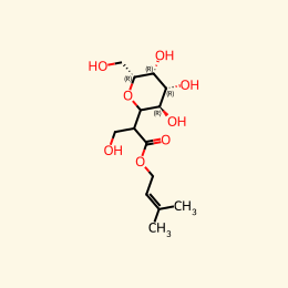 CC(C)=CCOC(=O)C(CO)C1O[C@H](CO)[C@H](O)[C@H](O)[C@H]1O